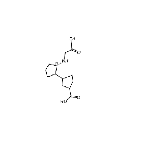 O=C(O)CN[C@H]1CCCC1C1CCC(C(=O)O)C1